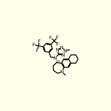 CN1CCC[C@H](N(Cc2cc(C(F)(F)F)cc(C(F)(F)F)c2)c2nnn(C)n2)c2cc3c(cc21)CCCC3